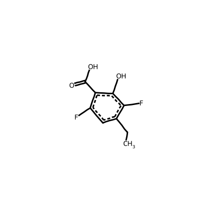 CCc1cc(F)c(C(=O)O)c(O)c1F